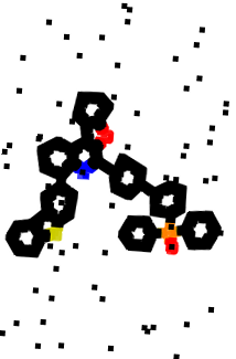 O=P(c1ccccc1)(c1ccccc1)c1cccc(-c2ccc(-c3nc4c(-c5ccc6sc7ccccc7c6c5)cccc4c4c3oc3ccccc34)cc2)c1